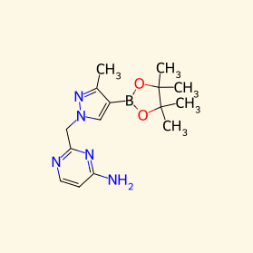 Cc1nn(Cc2nccc(N)n2)cc1B1OC(C)(C)C(C)(C)O1